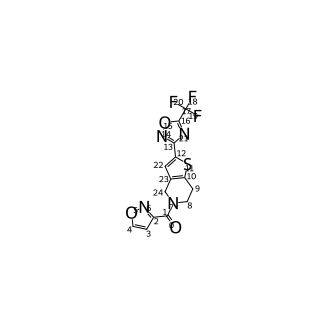 O=C(c1ccon1)N1CCc2sc(-c3noc(C(F)(F)F)n3)cc2C1